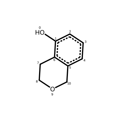 Oc1cccc2c1CCOC2